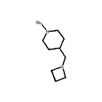 CC(C)(C)N1CCC(CN2CCC2)CC1